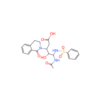 CC(=O)NC(NS(=O)(=O)c1ccccc1)C(O)C(CC(=O)O)N1CCc2ccccc2C1=O